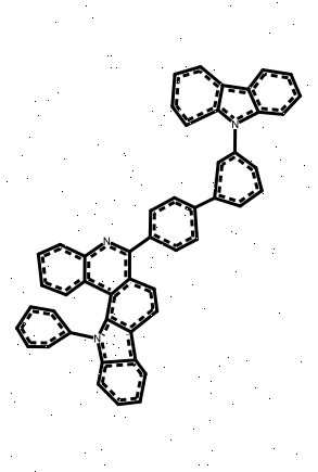 c1ccc(-n2c3ccccc3c3ccc4c(-c5ccc(-c6cccc(-n7c8ccccc8c8ccccc87)c6)cc5)nc5ccccc5c4c32)cc1